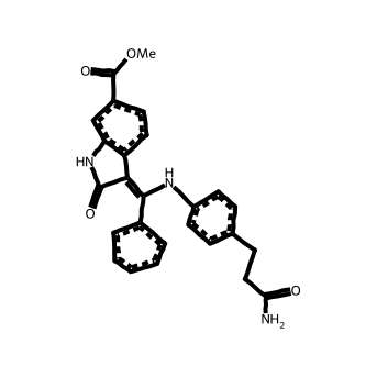 COC(=O)c1ccc2c(c1)NC(=O)C2=C(Nc1ccc(CCC(N)=O)cc1)c1ccccc1